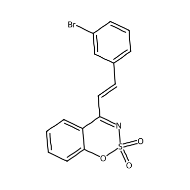 O=S1(=O)N=C(/C=C/c2cccc(Br)c2)c2ccccc2O1